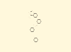 Cc1ccc(C(=O)Nc2cccc(OCc3ccccc3)c2)cc1-c1ccc2ncnc(N)c2c1